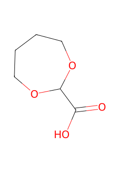 O=C(O)C1OCCCCO1